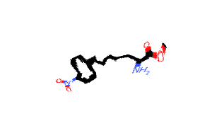 COC(=O)C(N)CCCCCc1ccc([N+](=O)[O-])cc1